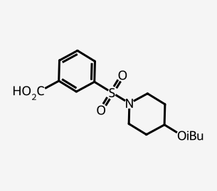 CC(C)COC1CCN(S(=O)(=O)c2cccc(C(=O)O)c2)CC1